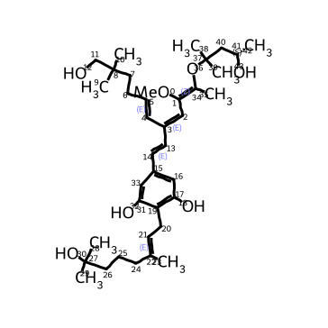 COC(/C=C(\C=C\CCC(C)(C)CO)/C=C/c1cc(O)c(C/C=C(\C)CCCC(C)(C)O)c(O)c1)=C(/C)OC(C)(C)C[C@H](C)O